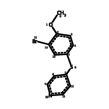 COc1ccc(Sc2ccncc2)cc1Br